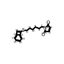 O=C1C=CC(=O)N1CCCCCCSC1=Cc2ccccc21